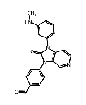 CNc1cccc(-n2c(=O)n(-c3ccc(C=O)cc3)c3cnccc32)c1